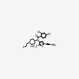 CC(C)(C)C#Cc1cc(N(C(=O)c2ccc(Cl)cc2Cl)C2CCN(CCF)CC2)c(C(=O)O)s1